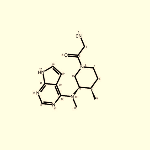 [C-]#[N+]CC(=O)N1CC[C@@H](C)[C@@H](N(C)c2ncnc3[nH]ccc23)C1